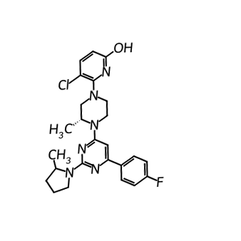 CC1CCCN1c1nc(-c2ccc(F)cc2)cc(N2CCN(c3nc(O)ccc3Cl)C[C@H]2C)n1